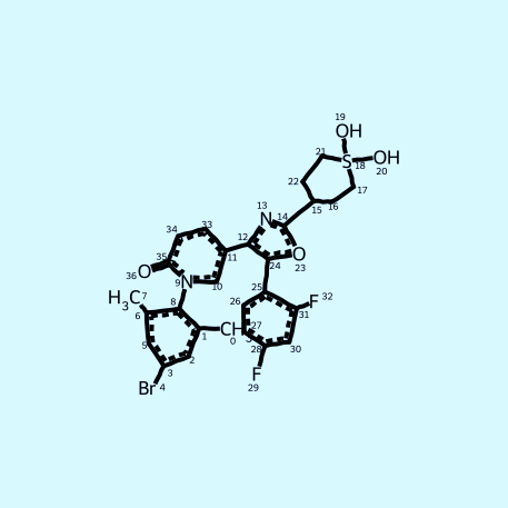 Cc1cc(Br)cc(C)c1-n1cc(-c2nc(C3CCS(O)(O)CC3)oc2-c2ccc(F)cc2F)ccc1=O